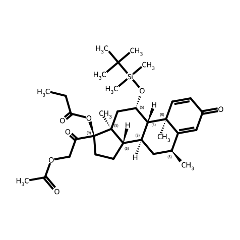 CCC(=O)O[C@]1(C(=O)COC(C)=O)CC[C@H]2[C@@H]3C[C@H](C)C4=CC(=O)C=C[C@]4(C)[C@H]3[C@@H](O[Si](C)(C)C(C)(C)C)C[C@@]21C